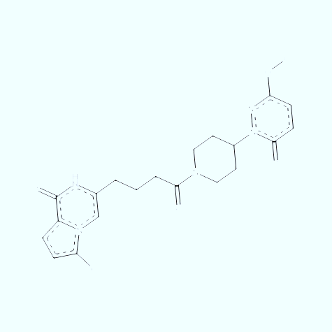 COc1ccc(=O)n(C2CCN(C(=O)CCCc3cn4c(C)ccc4c(=O)[nH]3)CC2)n1